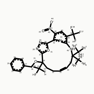 [2H]C([2H])([2H])C1(C([2H])([2H])[2H])CC=CCCC(OCc2ccccc2)(C(F)(F)F)c2nnc(o2)-c2nc(c(C(F)(F)F)cc2[N+](=O)[O-])N1